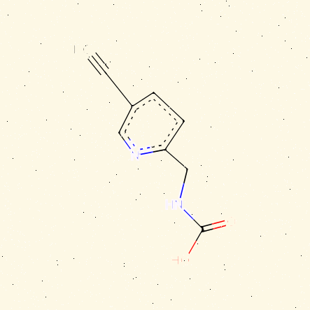 C#Cc1ccc(CNC(=O)O)nc1